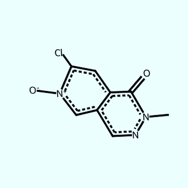 Cn1ncc2c[n+]([O-])c(Cl)cc2c1=O